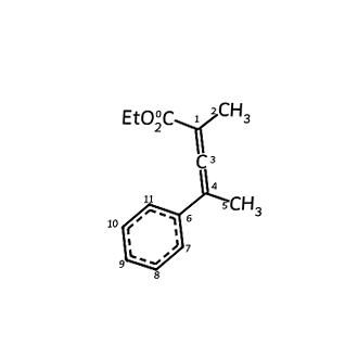 CCOC(=O)C(C)=C=C(C)c1ccccc1